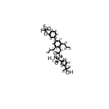 CCCc1cc(-c2ccc3c(c2)OC(F)(F)O3)cc(CCC)c1CC(=O)N=S(N)(=O)c1ncc(C(C)(C)O)s1